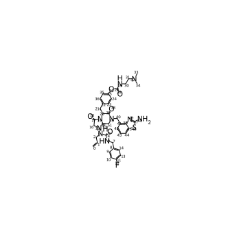 C=CCN(C(=O)NCc1ccc(F)cc1)N1CC(=O)N2[C@@H](Cc3ccc(OC(=O)NCCN(C)C)cc3)C(=O)N(Cc3cccc4sc(N)nc34)C[C@@H]21